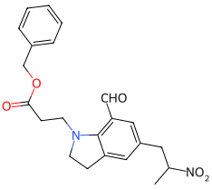 CC(Cc1cc(C=O)c2c(c1)CCN2CCC(=O)OCc1ccccc1)[N+](=O)[O-]